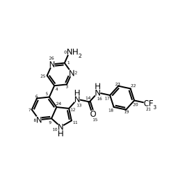 Nc1ncc(-c2ccnc3[nH]cc(NC(=O)Nc4ccc(C(F)(F)F)cc4)c23)cn1